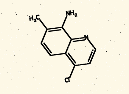 Cc1ccc2c(Cl)ccnc2c1N